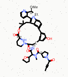 CC#CC(=O)N1CC[C@H](C(=O)N(C)C(C(=O)N[C@H]2Cc3cc(O)cc(c3)-c3ccc4c(c3)c(c(-c3cccnc3[C@H](C)OC)n4CC)CC(C)(C)COC(=O)[C@@H]3CCCN(N3)C2=O)C2CCCO2)C1